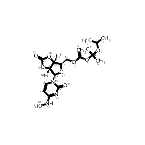 CC(C)OC(C)(C)OC(=O)OC[C@H]1O[C@@H](n2ccc(NO)nc2=O)[C@@H]2OC(=O)O[C@@H]21